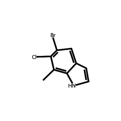 Cc1c(Cl)c(Br)cc2cc[nH]c12